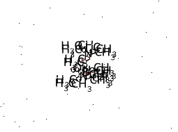 CC(C)(C)c1ccc(N2B3c4cc(C(C)(C)C)ccc4-n4c5ccc(C(C)(C)C)cc5c5c6c(oc7ccccc76)c(c3c54)-c3cc4c(cc32)-c2ccc(N(c3ccc(C(C)(C)C)cc3)c3ccc(C(C)(C)C)cc3)cc2C4(C)C)cc1